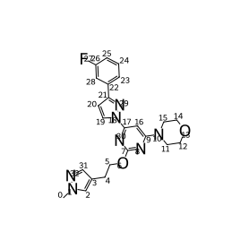 Cn1cc(CCOc2nc(N3CCOCC3)cc(-n3ccc(-c4cccc(F)c4)n3)n2)cn1